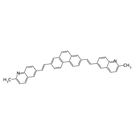 Cc1ccc2cc(/C=C/c3ccc4c(ccc5cc(/C=C/c6ccc7nc(C)ccc7c6)ccc54)c3)ccc2n1